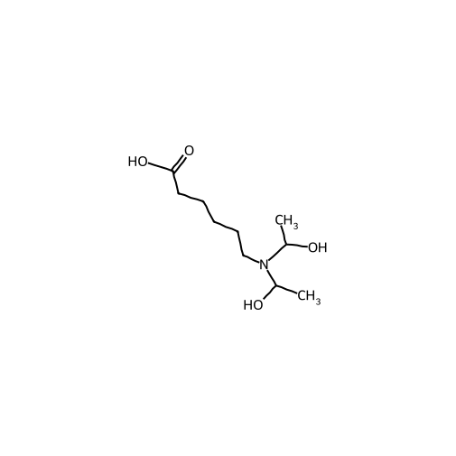 CC(O)N(CCCCCC(=O)O)C(C)O